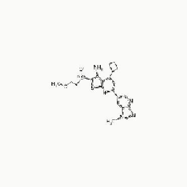 COCC[S@+]([O-])c1sc2nc(-c3cnc4ncn(C)c4c3)cc(C3CCC3)c2c1N